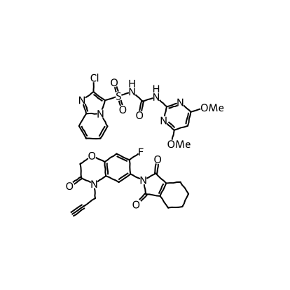 C#CCN1C(=O)COc2cc(F)c(N3C(=O)C4=C(CCCC4)C3=O)cc21.COc1cc(OC)nc(NC(=O)NS(=O)(=O)c2c(Cl)nc3ccccn23)n1